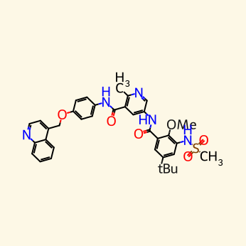 COc1c(NS(C)(=O)=O)cc(C(C)(C)C)cc1C(=O)Nc1cnc(C)c(C(=O)Nc2ccc(OCc3ccnc4ccccc34)cc2)c1